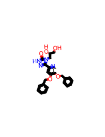 O=c1[nH]nc(-c2cc(OCc3ccccc3)c(OCc3ccccc3)cn2)n1C[C@@H](O)CO